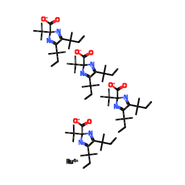 CCC(C)(C)C1=NC(C(=O)[O-])(C(C)(C)C)N=C1C(C)(C)CC.CCC(C)(C)C1=NC(C(=O)[O-])(C(C)(C)C)N=C1C(C)(C)CC.CCC(C)(C)C1=NC(C(=O)[O-])(C(C)(C)C)N=C1C(C)(C)CC.CCC(C)(C)C1=NC(C(=O)[O-])(C(C)(C)C)N=C1C(C)(C)CC.[Ru+4]